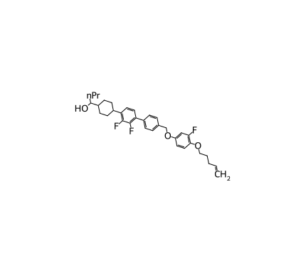 C=CCCCOc1ccc(OCc2ccc(-c3ccc(C4CCC(C(O)CCC)CC4)c(F)c3F)cc2)cc1F